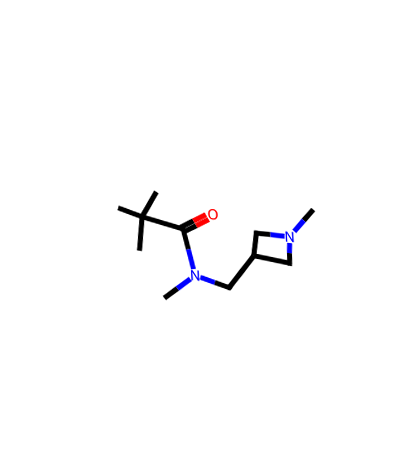 CN1CC(CN(C)C(=O)C(C)(C)C)C1